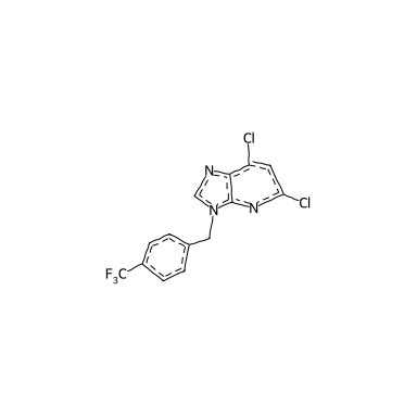 FC(F)(F)c1ccc(Cn2cnc3c(Cl)cc(Cl)nc32)cc1